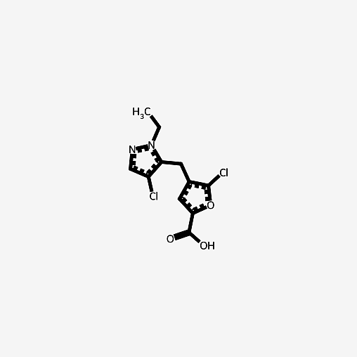 CCn1ncc(Cl)c1Cc1cc(C(=O)O)oc1Cl